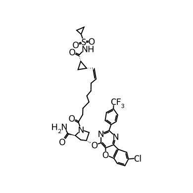 NC(=O)[C@@H]1C[C@@H](Oc2nc(-c3ccc(C(F)(F)F)cc3)nc3c2oc2ccc(Cl)cc23)CN1C(=O)CCCCCC/C=C\[C@@H]1C[C@@H]1C(=O)NS(=O)(=O)C1CC1